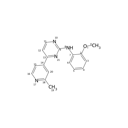 COc1ccccc1Nc1nccc(-c2ccnc(C)c2)n1